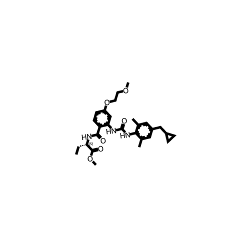 CC[C@H](NC(=O)c1ccc(OCCOC)cc1NC(=O)Nc1c(C)cc(CC2CC2)cc1C)C(=O)OC